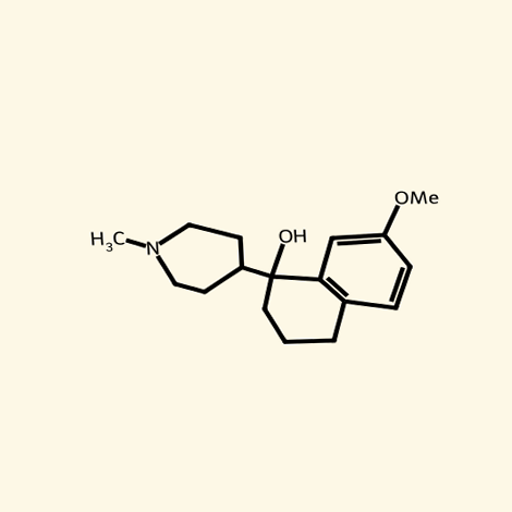 COc1ccc2c(c1)C(O)(C1CCN(C)CC1)CCC2